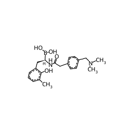 Cc1cccc(C[C@H](NC(=O)Cc2ccc(CN(C)C)cc2)B(O)O)c1O